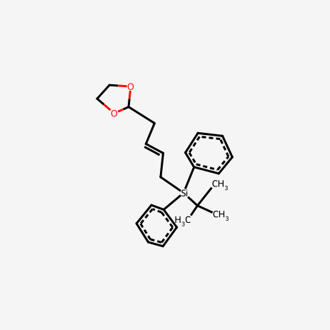 CC(C)(C)[Si](CC=CCC1OCCO1)(c1ccccc1)c1ccccc1